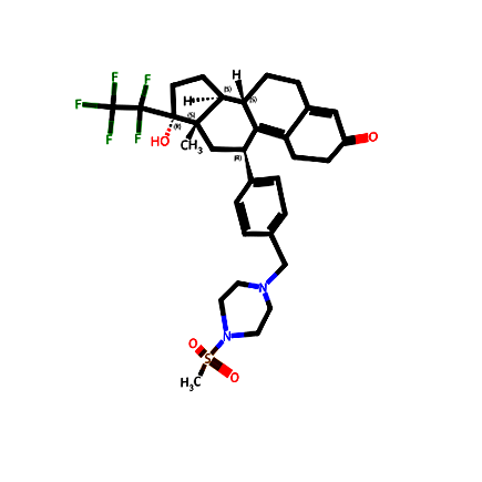 C[C@]12C[C@H](c3ccc(CN4CCN(S(C)(=O)=O)CC4)cc3)C3=C4CCC(=O)C=C4CC[C@H]3[C@@H]1CC[C@]2(O)C(F)(F)C(F)(F)F